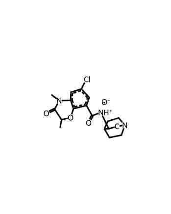 CC1Oc2c(C(=O)[NH+]([O-])C3CN4CCC3CC4)cc(Cl)cc2N(C)C1=O